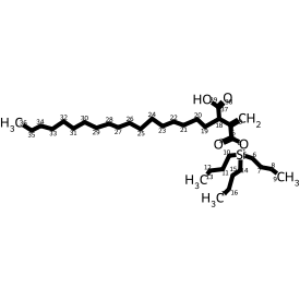 C=C(C(=O)O[Si](CCCC)(CCCC)CCCC)C(CCCCCCCCCCCCCCCCCC)C(=O)O